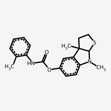 Cc1ccccc1NC(=O)Oc1ccc2c(c1)C1(C)CCSC1N2C